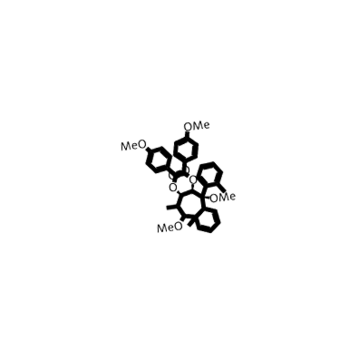 COc1ccc(C(=O)O[C@@H]2C(C)C(OC)C3(C)C=CC=CC3[C@@](OC)(c3ccccc3C)[C@@H]2OC(=O)c2ccc(OC)cc2)cc1